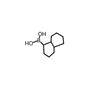 OB(O)C1CCCC2CCCCC21